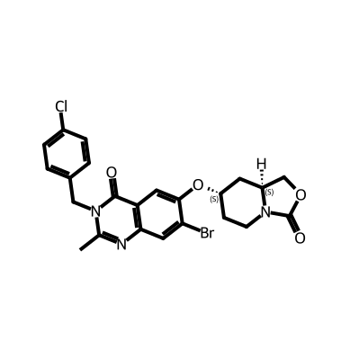 Cc1nc2cc(Br)c(O[C@H]3CCN4C(=O)OC[C@@H]4C3)cc2c(=O)n1Cc1ccc(Cl)cc1